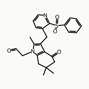 Cc1c(Cc2cccnc2S(=O)(=O)c2ccccc2)c2c(n1CC=O)CC(C)(C)CC2=O